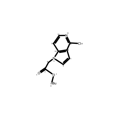 CCCCOC(=O)Cn1ccc2c(Cl)nccc21